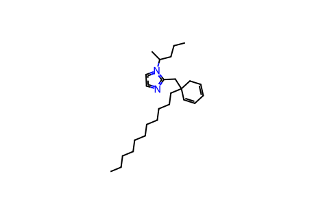 CCCCCCCCCCCC1(Cc2nccn2C(C)CCC)C=CC=CC1